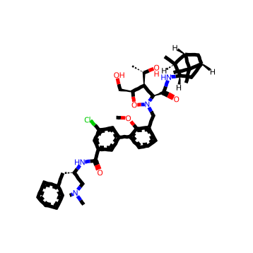 COc1c(CN2O[C@@H](CO)[C@@H]([C@H](C)O)[C@H]2C(=O)N[C@H]2C[C@H]3C[C@@H]([C@@H]2C)C3(C)C)cccc1-c1cc(Cl)cc(C(=O)N[C@@H](Cc2ccccc2)CN(C)C)c1